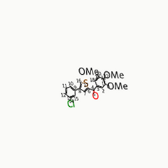 COc1cc(C(=O)c2cc(-c3cccc(Cl)c3)cs2)cc(OC)c1OC